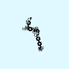 CCOc1ccc(-c2n[nH]c3ccc(NC(=O)C4(SC)CCN(CC(=O)N5CC=C(c6ccc(-c7ncn(C)n7)cc6)CC5)C4)cc23)cn1